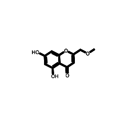 COCc1cc(=O)c2c(O)cc(O)cc2o1